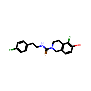 Oc1ccc2c(c1Cl)CCN(C(=S)NCCc1ccc(Cl)cc1)C2